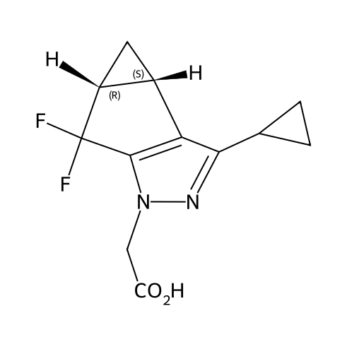 O=C(O)Cn1nc(C2CC2)c2c1C(F)(F)[C@@H]1C[C@H]21